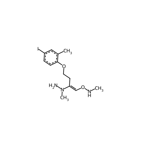 CNO/C=C(\CCOc1ccc(I)cc1C)N(C)N